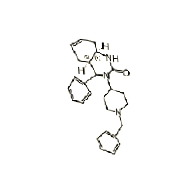 O=C1N[C@@H]2CC=CC[C@@H]2C(c2ccccc2)N1C1CCN(Cc2ccccc2)CC1